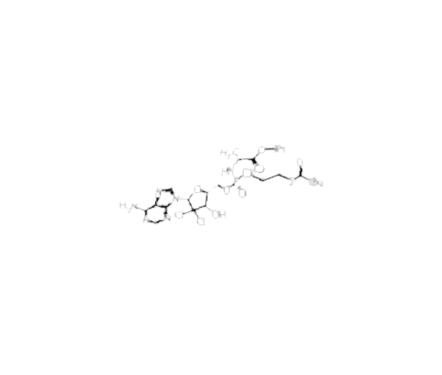 CC(C)OC(=O)[C@@H](C)N[P@@](=O)(OCCSC(=O)C(C)(C)C)OC[C@H]1O[C@@H](n2cnc3c(N)ncnc32)C(Cl)(Cl)[C@@H]1O